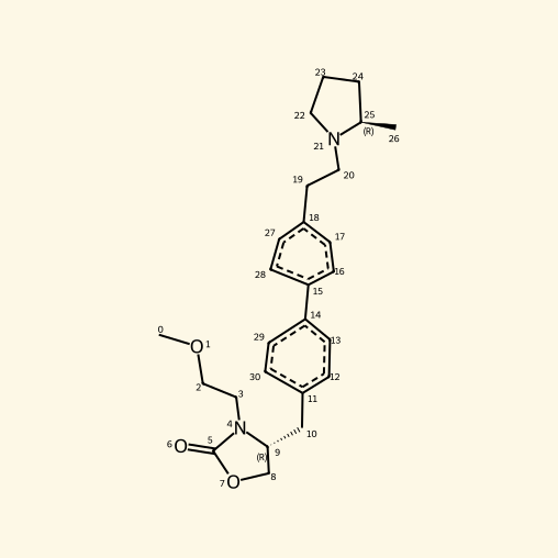 COCCN1C(=O)OC[C@H]1Cc1ccc(-c2ccc(CCN3CCC[C@H]3C)cc2)cc1